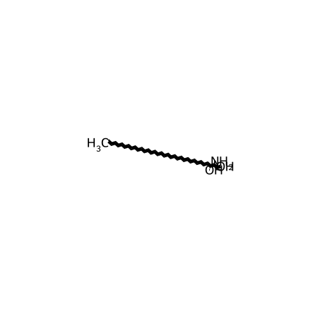 CCCCCCCCCCCCCCCCCCCCCCCCCCCCCCCC[C@@H](O)[C@@H](N)CO